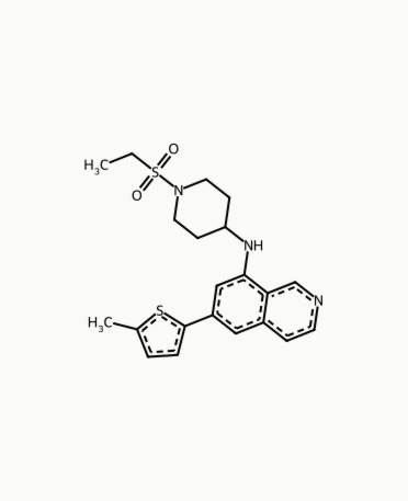 CCS(=O)(=O)N1CCC(Nc2cc(-c3ccc(C)s3)cc3ccncc23)CC1